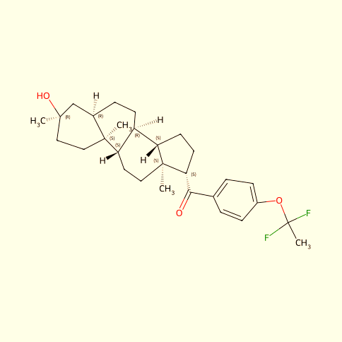 CC(F)(F)Oc1ccc(C(=O)[C@H]2CC[C@H]3[C@@H]4CC[C@@H]5C[C@](C)(O)CC[C@]5(C)[C@H]4CC[C@]23C)cc1